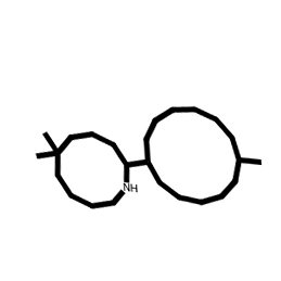 CC1CCCCCCC(C2CCCC(C)(C)CCCCN2)CCCCC1